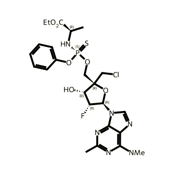 CCOC(=O)[C@@H](C)N[P@](=S)(OC[C@@]1(CCl)O[C@@H](n2cnc3c(NC)nc(C)nc32)[C@H](F)[C@@H]1O)Oc1ccccc1